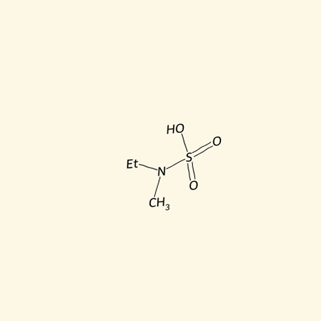 CCN(C)S(=O)(=O)O